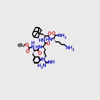 CC(C)(C)OC(=O)N[C@@H](Cc1ccccc1)C(=O)N[C@H](CCCNC(=N)N)C(=O)N[C@@H](CC12CC3CC(CC(C3)C1)C2)C(=O)N[C@@H](CCCCN)C(N)=O